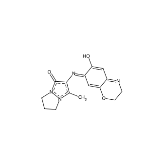 Cc1c(/N=C2\C=C3OCCN=C3C=C2O)c(=O)n2n1CCC2